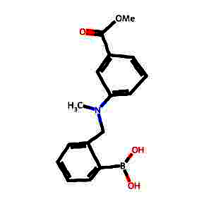 COC(=O)c1cccc(N(C)Cc2ccccc2B(O)O)c1